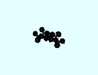 c1ccc(N(c2ccc3c(c2)C2(c4ccccc4-c4ccccc42)c2cc(N(c4ccccc4)c4ccc5c6ccccc6n(-c6ccccc6)c5c4)ccc2-3)c2ccc3c4ccccc4n(-c4ccccc4)c3c2)cc1